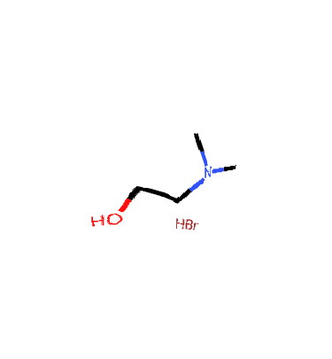 Br.CN(C)CCO